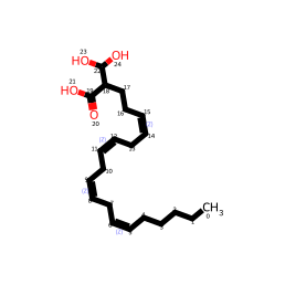 CCCCC/C=C\C/C=C\C/C=C\C/C=C\CCC(C(=O)O)C(O)O